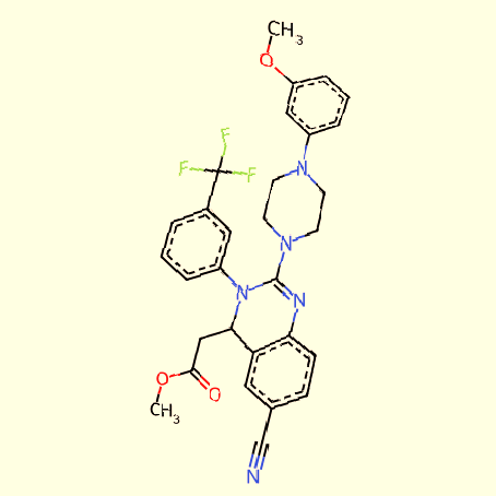 COC(=O)CC1c2cc(C#N)ccc2N=C(N2CCN(c3cccc(OC)c3)CC2)N1c1cccc(C(F)(F)F)c1